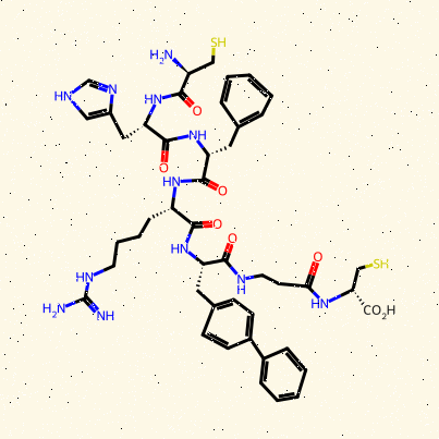 N=C(N)NCCCC[C@H](NC(=O)[C@@H](Cc1ccccc1)NC(=O)[C@H](Cc1c[nH]cn1)NC(=O)[C@@H](N)CS)C(=O)N[C@@H](Cc1ccc(-c2ccccc2)cc1)C(=O)NCCC(=O)N[C@H](CS)C(=O)O